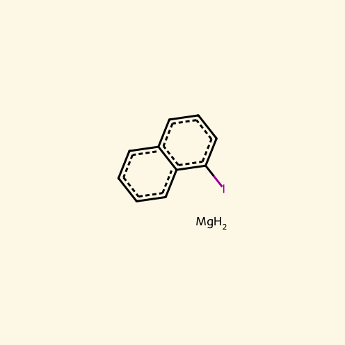 Ic1cccc2ccccc12.[MgH2]